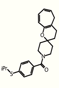 CC(C)Sc1ccc(C(=O)N2CCC3(CCC4=C(C=CC=CC4)O3)CC2)cc1